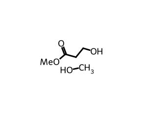 CO.COC(=O)CCO